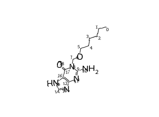 CCCCCCOCn1c(N)nc2nc[nH]c2c1=O